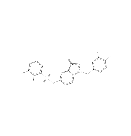 Cc1c(Cl)cccc1S(=O)(=O)Nc1ccc2c(c1)c(=O)[nH]n2Cc1ccc(F)c(F)c1